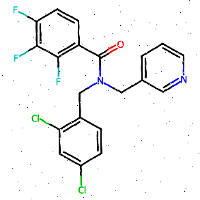 O=C(c1ccc(F)c(F)c1F)N(Cc1cccnc1)Cc1ccc(Cl)cc1Cl